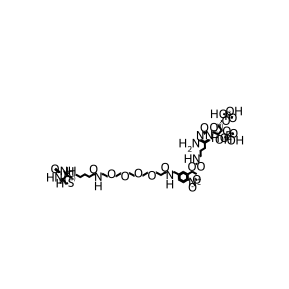 CC(OC(=O)NCCCc1cn([C@@H]2O[C@H](COP(=O)(O)O)C(OP(=O)(O)O)C2O)c(=O)nc1N)c1cc(CNC(=O)CCOCCOCCOCCOCCNC(=O)CCCC[C@@H]2SC[C@@H]3NC(=O)N[C@@H]32)ccc1[N+](=O)[O-]